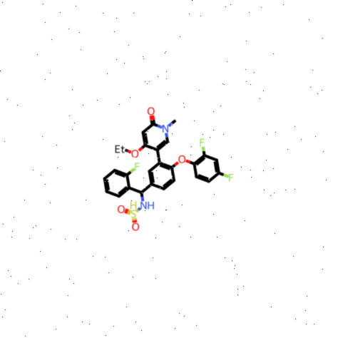 CCOc1cc(=O)n(C)cc1-c1cc(C(N[SH](=O)=O)c2ccccc2F)ccc1Oc1ccc(F)cc1F